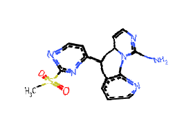 CS(=O)(=O)c1nccc(C2c3cccnc3N3C(N)=NC=CC23)n1